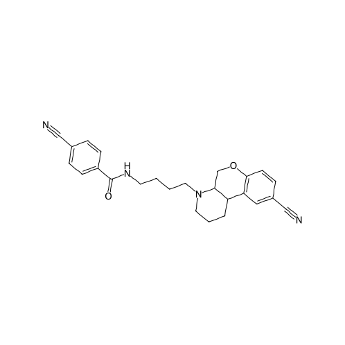 N#Cc1ccc(C(=O)NCCCCN2CCCC3c4cc(C#N)ccc4OCC32)cc1